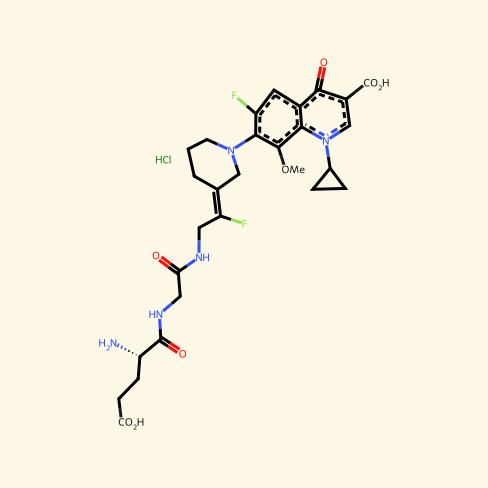 COc1c(N2CCCC(=C(F)CNC(=O)CNC(=O)[C@@H](N)CCC(=O)O)C2)c(F)cc2c(=O)c(C(=O)O)cn(C3CC3)c12.Cl